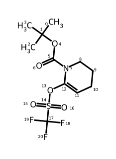 CC(C)(C)OC(=O)N1CCCC=C1OS(=O)(=O)C(F)(F)F